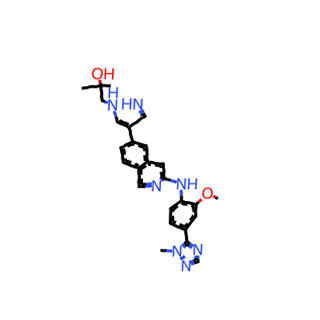 COc1cc(-c2ncnn2C)ccc1Nc1cc2cc(/C(C=N)=C/NCC(C)(C)O)ccc2cn1